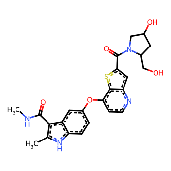 CNC(=O)c1c(C)[nH]c2ccc(Oc3ccnc4cc(C(=O)N5CC(O)CC5CO)sc34)cc12